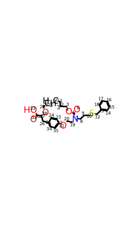 CCCCOC(=O)N(CCCSCc1ccccc1)CCOc1ccc(CC(OCC)C(=O)O)cc1